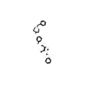 Cc1cc(OC2CCN(Cc3ccccc3)CC2)ccc1NC(=O)c1ncn(-c2nc3ccccc3[nH]2)c1C(N)=O